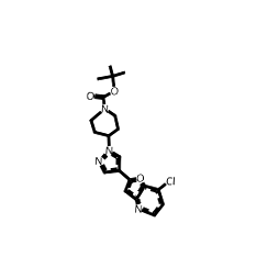 CC(C)(C)OC(=O)N1CCC(n2cc(-c3cc4nccc(Cl)c4o3)cn2)CC1